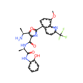 COc1ccc(-c2nc(C(=O)N[C@H](C)C(=O)Nc3ccccc3O)c([C@H](C)N)o2)c2ccc(C(F)(F)F)nc12